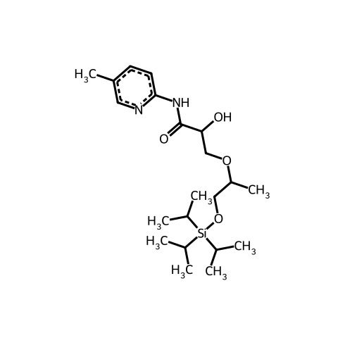 Cc1ccc(NC(=O)C(O)COC(C)CO[Si](C(C)C)(C(C)C)C(C)C)nc1